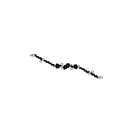 O=C(CCCCCO)OCCCCCCCCOc1ccc(C(=O)Oc2ccc3cc(OC(=O)c4ccc(OCCCCCCCCOC(=O)CCCCCO)cc4)ccc3c2)cc1